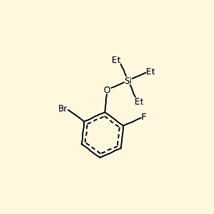 CC[Si](CC)(CC)Oc1c(F)cccc1Br